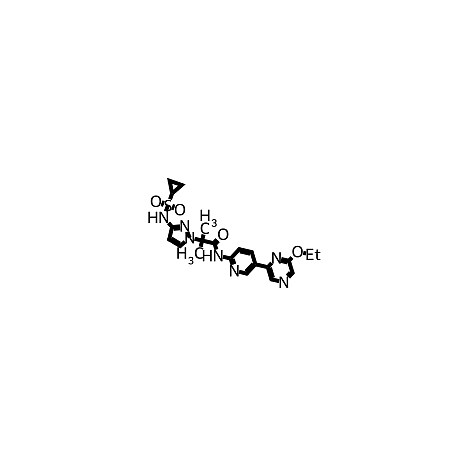 CCOc1cncc(-c2ccc(NC(=O)C(C)(C)n3ccc(NS(=O)(=O)C4CC4)n3)nc2)n1